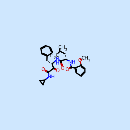 COc1ccccc1C(=O)N[C@@H](CC(C)C)C(=O)N[C@@H](Cc1ccccc1)C(=O)C(=O)NC1CC1